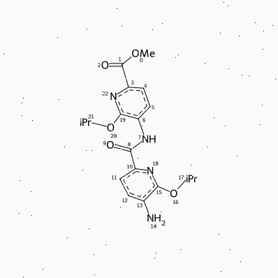 COC(=O)c1ccc(NC(=O)c2ccc(N)c(OC(C)C)n2)c(OC(C)C)n1